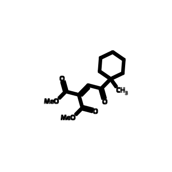 COC(=O)C(=CC(=O)C1(C)CCCCC1)C(=O)OC